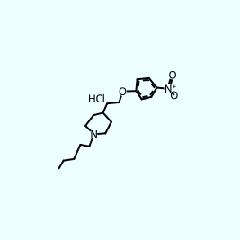 CCCCCN1CCC(CCOc2ccc([N+](=O)[O-])cc2)CC1.Cl